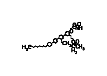 C=C(C)C(=O)OCCCc1cc(-c2ccc(-c3ccc(C4CCC(CCCCCCCCC)CC4)cc3)c(CC)c2)ccc1OCC1CNC(=O)OC1